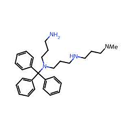 CNCCCNCCCN(CCCN)C(c1ccccc1)(c1ccccc1)c1ccccc1